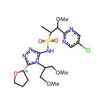 COCC(COC)n1c(NS(=O)(=O)C(C)C(OC)c2ncc(Cl)cn2)nnc1[C@@H]1CCCO1